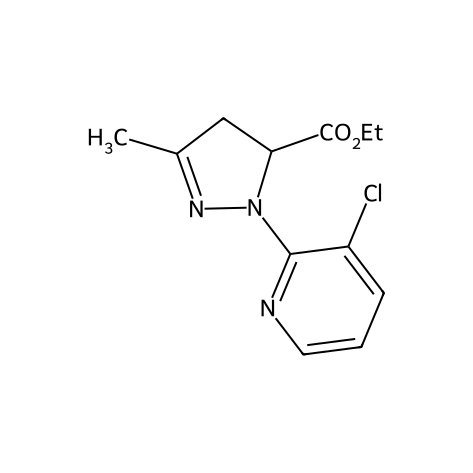 CCOC(=O)C1CC(C)=NN1c1ncccc1Cl